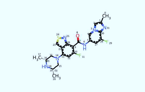 Cc1cn2cc(NC(=O)c3c(F)cc(N4C[C@@H](C)N[C@@H](C)C4)c4csnc34)cc(F)c2n1